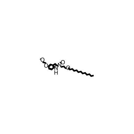 CCCCCCCCCCCCOCCCN(C=O)c1cc2cc(OCCOC)ccc2[nH]1